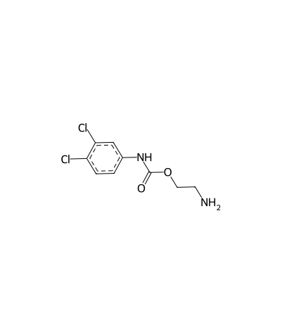 NCCOC(=O)Nc1ccc(Cl)c(Cl)c1